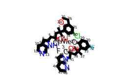 CC(C)(CC(O)(Cc1cc2ccncc2[nH]1)C(F)(F)F)c1cc(Cl)cc2c1OCC2.COc1ccc(F)cc1C(C)(C)CC(O)(Cn1ccc2cccnc21)C(F)(F)F